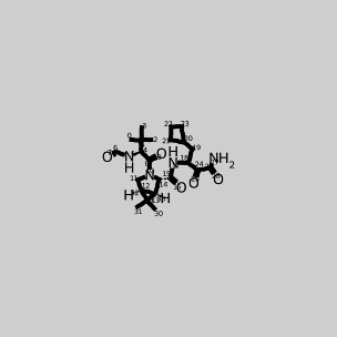 CC(C)(C)[C@H](NC=O)C(=O)N1C[C@H]2[C@@H]([C@H]1C(=O)NC(CC1CCC1)C(=O)C(N)=O)C2(C)C